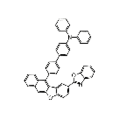 c1ccc(N(c2ccccc2)c2ccc(-c3ccc(-c4c5ccccc5cc5oc6ccc(-c7nc8ccccc8o7)cc6c45)cc3)cc2)cc1